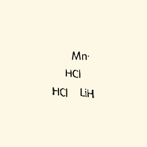 Cl.Cl.[LiH].[Mn]